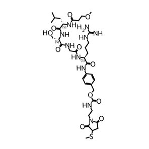 COCCC(=O)N[C@@H](CC(C)C)C(=O)N[C@@H](CO)C(=O)NCC(=O)N[C@@H](CCCNC(=N)N)C(=O)Nc1ccc(COC(=O)NCCN2C(=O)CC(SC)C2=O)cc1